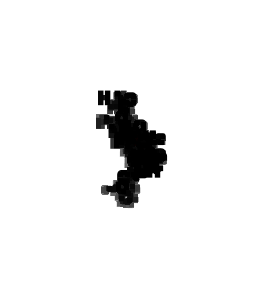 C=CCOC(=O)C(/C=N/C(=O)[C@H](C)[C@@H](OC)[C@@]1(O)CCCN1C(=O)C[C@@H](OC)[C@H]([C@@H](C)CC)N(C)C(=O)[C@@H](NC(=C)[C@H](C(C)C)N(C)C(=O)OCc1ccc(NC(=O)[C@H](CCCNC(N)=O)NC(=O)C(N)C(C)C)cc1)C(C)C)Cc1ccccc1